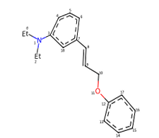 CCN(CC)c1cccc(C=CCOc2ccccc2)c1